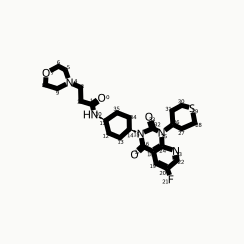 O=C(CCN1CCOCC1)N[C@H]1CC[C@@H](n2c(=O)c3cc(F)cnc3n(C3CCSCC3)c2=O)CC1